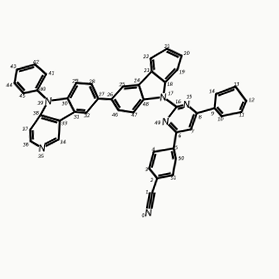 N#Cc1ccc(-c2cc(-c3ccccc3)nc(-n3c4ccccc4c4cc(-c5ccc6c(c5)c5cnccc5n6-c5ccccc5)ccc43)n2)cc1